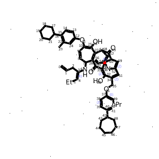 C=CC/C(=C\CC)NC1C=CC(Oc2ccc(C3CCCCC3)c(C)c2)=C(O)C2=C1C(=O)/C1=C(O)/C(COC(/C=C\C(=C)C3CCCCCC3)=C/CCC)=C\C(N/C(C=C)=C/C)=C\C(C1)C(=O)C2